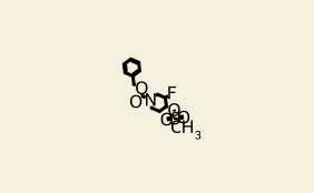 CS(=O)(=O)OC1CCN(C(=O)OCc2ccccc2)CC1F